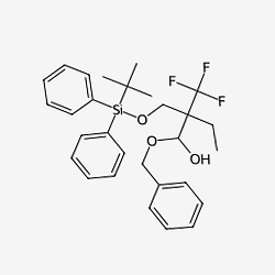 CCC(CO[Si](c1ccccc1)(c1ccccc1)C(C)(C)C)(C(O)OCc1ccccc1)C(F)(F)F